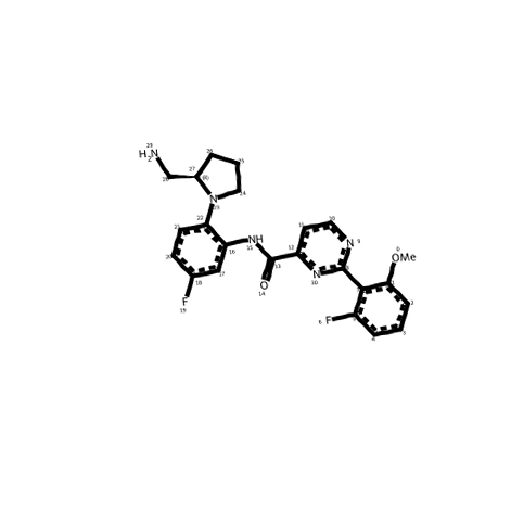 COc1cccc(F)c1-c1nccc(C(=O)Nc2cc(F)ccc2N2CCC[C@@H]2CN)n1